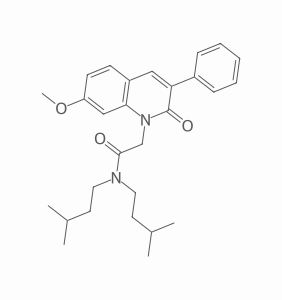 COc1ccc2cc(-c3ccccc3)c(=O)n(CC(=O)N(CCC(C)C)CCC(C)C)c2c1